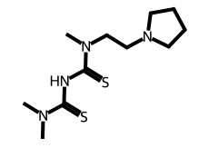 CN(C)C(=S)NC(=S)N(C)CCN1CCCC1